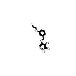 O=c1[nH]ncc(OCc2cccc(OCCF)c2)c1Cl